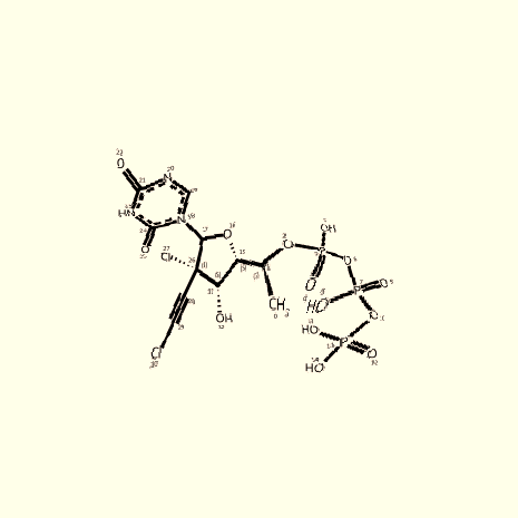 C[C@H](OP(=O)(O)OP(=O)(O)OP(=O)(O)O)[C@H]1OC(n2cnc(=O)[nH]c2=O)[C@](Cl)(C#CCl)[C@H]1O